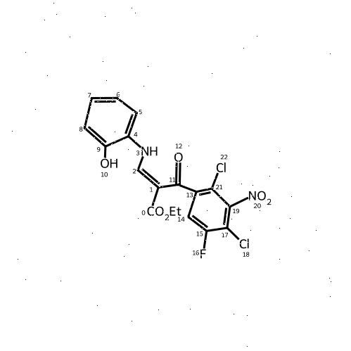 CCOC(=O)C(=CNc1ccccc1O)C(=O)c1cc(F)c(Cl)c([N+](=O)[O-])c1Cl